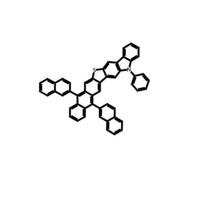 c1ccc(-n2c3ccccc3c3cc4sc5cc6c(-c7ccc8ccccc8c7)c7ccccc7c(-c7ccc8ccccc8c7)c6cc5c4cc32)cc1